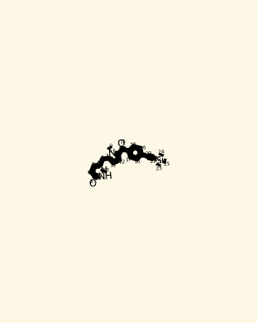 Cn1c(Cc2ccc(=O)[nH]n2)ccc1C(=O)c1ccc(C#C[Si](C)(C)C)cc1